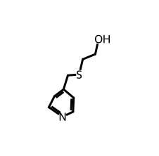 OCCSCc1ccncc1